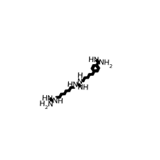 N=C(N)NCCCCCCCCNC(=N)NCCCCCc1ccc(C(=N)N)cc1